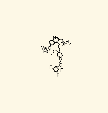 COc1ccc2ncc(CN)c([C@@H](O)CCC3(CC(=O)O)CCN(CCOc4cc(F)cc(F)c4F)CC3)c2c1